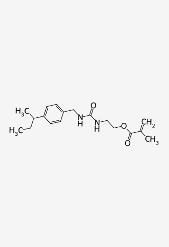 C=C(C)C(=O)OCCNC(=O)NCc1ccc(C(C)CC)cc1